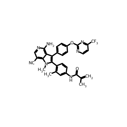 C=C(C)C(=O)Nc1ccc(-c2c(-c3ccc(Oc4nccc(C(F)(F)F)n4)cc3)c3c(N)ncc(C#N)c3n2C)c(C)c1